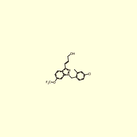 Cc1cc(Cl)ccc1Cn1nc(C=CCO)c2ccc(OC(F)(F)F)cc21